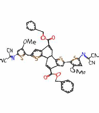 COc1cc(N=C(C#N)C#N)sc1-c1cc2c(s1)C1C=C(C(=O)OCc3ccccc3)c3cc(-c4sc(N=C(C#N)C#N)cc4OC)sc3C1C=C2C(=O)OCc1ccccc1